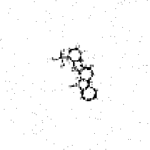 Cn1c2ccccc2c2ccc3c4cccc(C(C)(C)C)c4oc3c21